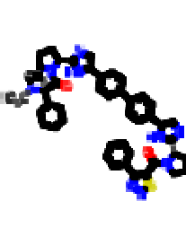 CN(C(=O)O)[C@@H](C(=O)N1CCC[C@H]1c1ncc(-c2ccc(-c3ccc(-c4cnc([C@@H]5CCCN5C(=O)c5snnc5-c5ccccc5)[nH]4)cc3)cc2)[nH]1)c1ccccc1